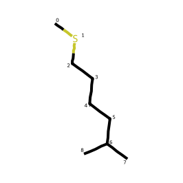 CSCC[CH]CC(C)C